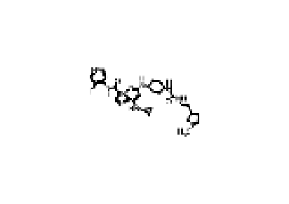 CN1CCC(CCNC(=O)NC2CCC(Nc3cc(NC4CC4)c4ncc(C(=O)Nc5ccncc5F)n4n3)CC2)C1